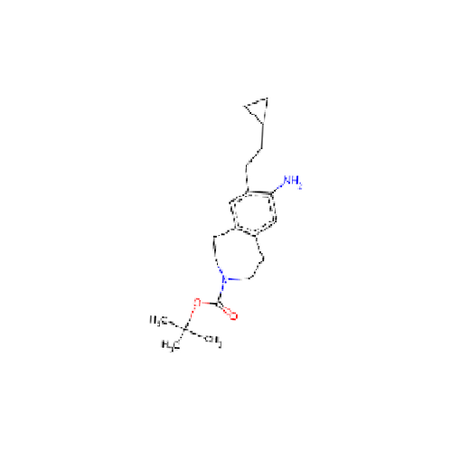 CC(C)(C)OC(=O)N1CCc2cc(N)c(CCC3CC3)cc2CC1